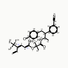 C=C/C(=C\C=C(/N)OC(C)(C)C(=O)NC(C)C(Cc1ccc(Cl)cc1)c1cccc(C#N)c1)C(F)(F)F